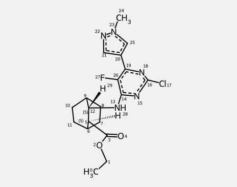 CCOC(=O)[C@H]1C2CCC(CC2)[C@@H]1Nc1nc(Cl)nc(-c2cnn(C)c2)c1F